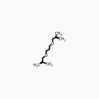 C=C(C)COCCCOCC(=C)C